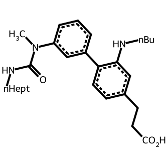 CCCCCCCNC(=O)N(C)c1cccc(-c2ccc(CCC(=O)O)cc2NCCCC)c1